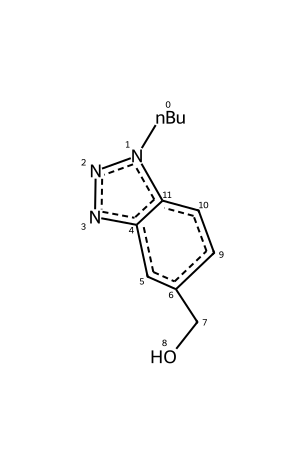 CCCCn1nnc2cc(CO)ccc21